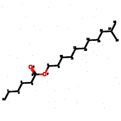 CCCCCC(=O)OCCCCCCCCCC(C)C